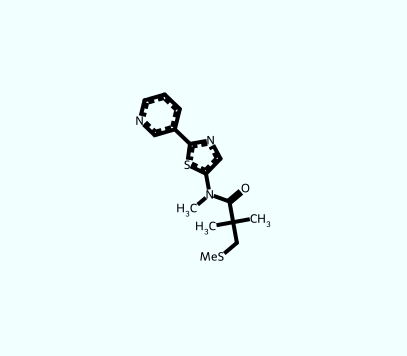 CSCC(C)(C)C(=O)N(C)c1cnc(-c2cccnc2)s1